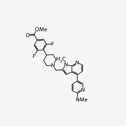 CNc1ccc(-c2ccnc3c2cc(CN2CCC(c4c(F)cc(C(=O)OC)cc4F)CC2)n3C)cn1